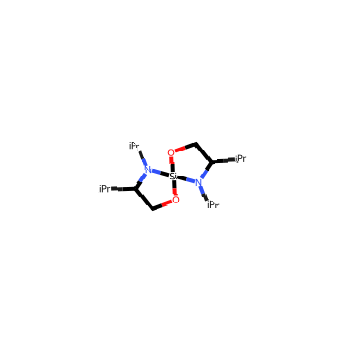 CC(C)C1CO[Si]2(OCC(C(C)C)N2C(C)C)N1C(C)C